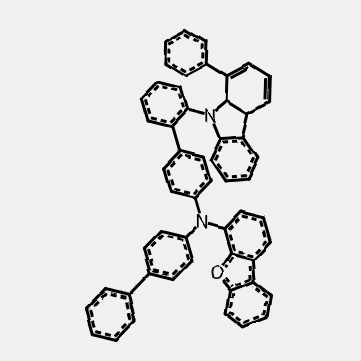 C1=CC2c3ccccc3N(c3ccccc3-c3ccc(N(c4ccc(-c5ccccc5)cc4)c4cccc5c4oc4ccccc45)cc3)C2C(c2ccccc2)=C1